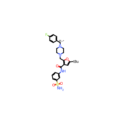 C[C@@H](c1ccc(F)cc1)N1CCN(Cc2oc(C(C)(C)C)cc2C(=O)Nc2cccc(S(N)(=O)=O)c2)CC1